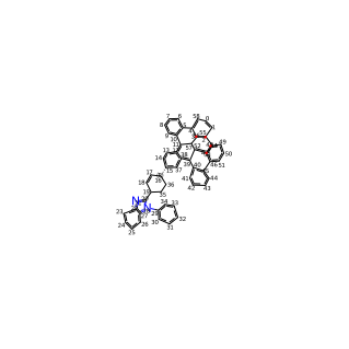 C1=CCCC(c2ccccc2C2=c3ccc([C@H]4C=CC(c5nc6ccccc6n5-c5ccccc5)CC4)cc3=C(c3ccccc3-c3ccccc3)C3=CCCCC32)=C1